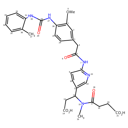 COc1cc(CC(=O)Nc2ccc(C(CC(=O)O)N(C)C(=O)CCC(=O)O)cn2)ccc1NC(=O)Nc1ccccc1C